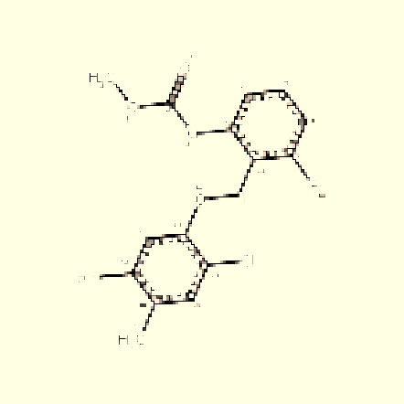 COC(=O)Oc1cccc(F)c1COc1cc(F)c(C)cc1Cl